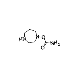 NC(=O)ON1CCCNCC1